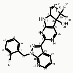 O=CC1Nc2nc(-c3nn(Cc4ccccc4F)c4ncccc34)ncc2C1(O)C(F)(F)F